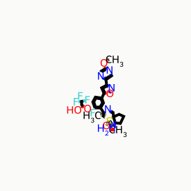 CN=[S@]1(=O)C[C@@](C)(c2cc(-c3cc(-c4cnc(OC)cn4)no3)ccc2F)N=CC12CCCC2N.O=C(O)C(F)(F)F